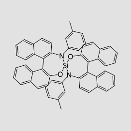 Cc1cccc(N2c3ccc4ccccc4c3-c3c(ccc4ccccc34)O[Si]23Oc2ccc4ccccc4c2-c2c(ccc4ccccc24)N3c2cccc(C)c2)c1